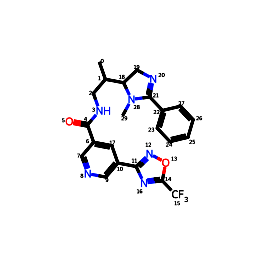 CC(CNC(=O)c1cncc(-c2noc(C(F)(F)F)n2)c1)C1CN=C(c2ccccc2)N1C